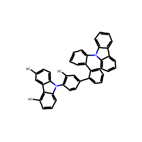 N#Cc1ccc2c(c1)c1c(C#N)cccc1n2-c1ccc(-c2ccccc2-c2ccccc2-n2c3ccccc3c3ccccc32)cc1C#N